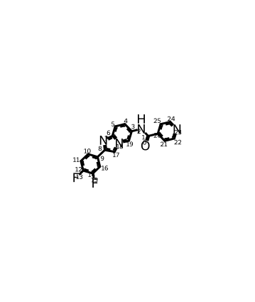 O=C(Nc1ccc2nc(-c3ccc(F)c(F)c3)cn2c1)c1ccncc1